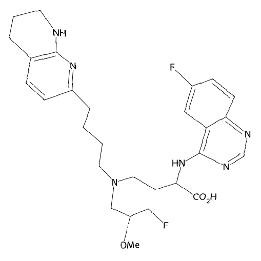 COC(CF)CN(CCCCc1ccc2c(n1)NCCC2)CCC(Nc1ncnc2ccc(F)cc12)C(=O)O